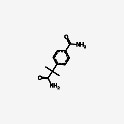 CC(C)(C(N)=O)c1ccc(C(N)=O)cc1